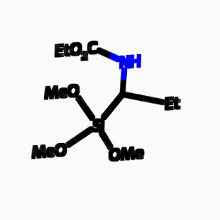 CCOC(=O)NC(CC)[Si](OC)(OC)OC